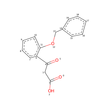 O=C(O)CC(=O)c1ccccc1OCc1ccccc1